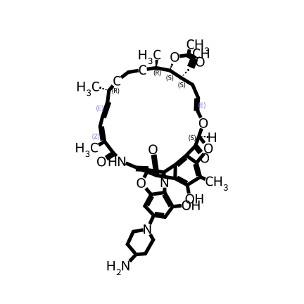 C#C[C@@H]1C/C=C/O[C@H]2Oc3c(C)c(O)c4c(=O)c(c5oc6cc(N7CCC(N)CC7)cc(O)c6nc-5c4c3C2=O)NC(=O)/C(C)=C\C=C\[C@H](C)CCC[C@@H](C)[C@@H]1OC(C)=O